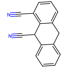 N#Cc1cccc2c1C(C#N)c1ccccc1C2